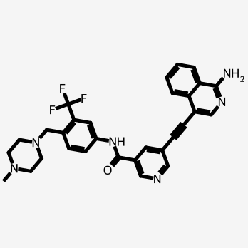 CN1CCN(Cc2ccc(NC(=O)c3cncc(C#Cc4cnc(N)c5ccccc45)c3)cc2C(F)(F)F)CC1